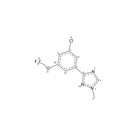 Cn1cnc(-c2cc(Cl)cc(OC(F)(F)F)c2)n1